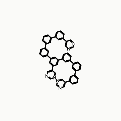 c1cc(-c2cncnc2)cc(-c2cccc(-c3cccc(-c4cc(-c5cncnc5)cc(-c5cccc(-c6cccc(-c7cccc(-c8cncnc8)c7)c6)c5)c4)c3)c2)c1